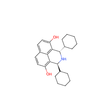 Oc1ccc2ccc(O)c3c2c1[C@H](C1CCCCC1)N[C@H]3C1CCCCC1